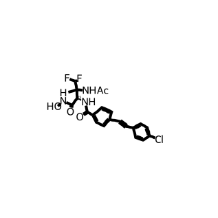 CC(=O)NC(C)(C(F)F)[C@H](NC(=O)c1ccc(C#Cc2ccc(Cl)cc2)cc1)C(=O)NO